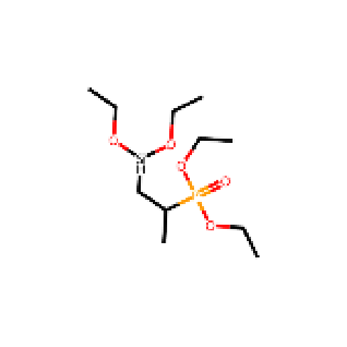 CCO[SiH](CC(C)P(=O)(OCC)OCC)OCC